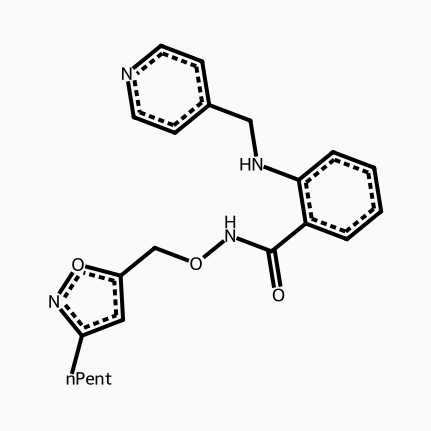 CCCCCc1cc(CONC(=O)c2ccccc2NCc2ccncc2)on1